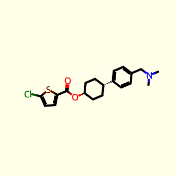 CN(C)Cc1ccc([C@H]2CC[C@H](OC(=O)c3ccc(Cl)s3)CC2)cc1